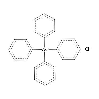 [Cl-].c1ccc([As+](c2ccccc2)(c2ccccc2)c2ccccc2)cc1